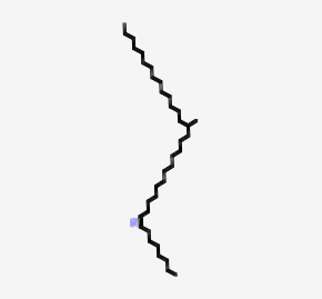 CCCCCCC/C=C\CCCCCCCCCCCC(C)CCCCCCCCCCCCCC